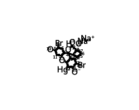 O.O=C1OC2(c3cc(Br)c([O-])cc3Oc3c2cc(Br)c([O-])[c]3[Hg])c2ccccc21.[Na+].[Na+]